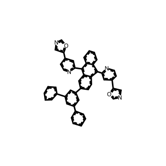 c1ccc(-c2cc(-c3ccccc3)cc(-c3ccc4c(-c5cc(-c6cnco6)ccn5)c5ccccc5c(-c5cc(-c6cnco6)ccn5)c4c3)c2)cc1